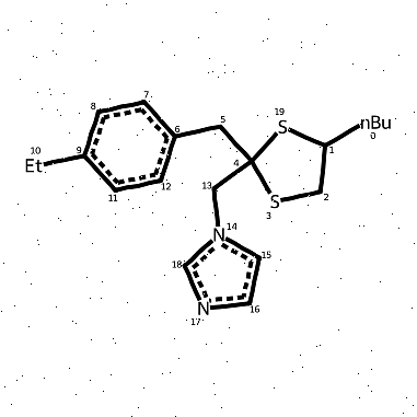 CCCCC1CSC(Cc2ccc(CC)cc2)(Cn2ccnc2)S1